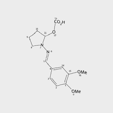 COc1ccc(C=NN2CCCC2OC(=O)O)cc1OC